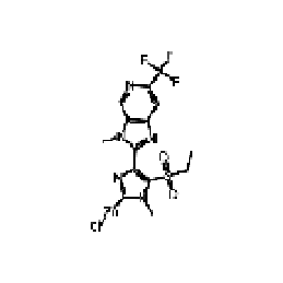 CCS(=O)(=O)c1c(-c2nc3cc(C(F)(F)F)ncc3n2C)n[c]([Zn][Cl])n1C